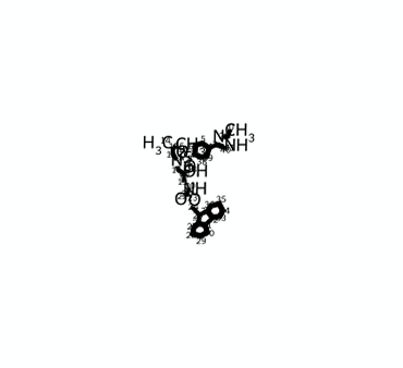 Cc1nc(-c2ccc(S(=O)(=O)N(CC(C)C)C[C@@H](O)CNC(=O)OCC3c4ccccc4-c4ccccc43)cc2)c[nH]1